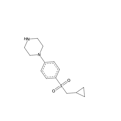 O=S(=O)(CC1CC1)c1ccc(N2CCNCC2)cc1